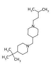 CC(C)CCN1CCC(CN2CCC(C(C)(C)C)CC2)CC1